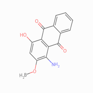 BOc1cc(O)c2c(c1N)C(=O)c1ccccc1C2=O